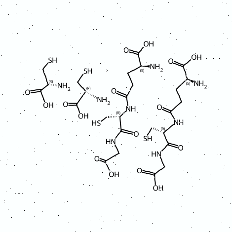 N[C@@H](CCC(=O)N[C@@H](CS)C(=O)NCC(=O)O)C(=O)O.N[C@@H](CCC(=O)N[C@@H](CS)C(=O)NCC(=O)O)C(=O)O.N[C@@H](CS)C(=O)O.N[C@@H](CS)C(=O)O